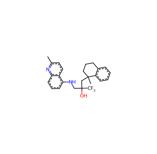 Cc1ccc2c(NCC(O)(CC3(C)CCCc4ccccc43)C(F)(F)F)cccc2n1